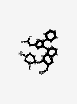 COc1cc2ncnc(-c3cn(CC(F)F)nc3-c3ccccc3)c2cc1O[C@@H]1CCN(C)C[C@H]1F